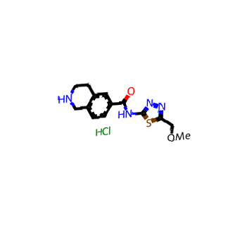 COCc1nnc(NC(=O)c2ccc3c(c2)CCNC3)s1.Cl